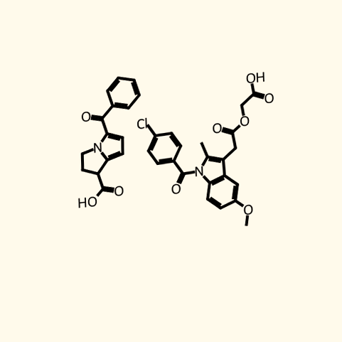 COc1ccc2c(c1)c(CC(=O)OCC(=O)O)c(C)n2C(=O)c1ccc(Cl)cc1.O=C(c1ccccc1)c1ccc2n1CCC2C(=O)O